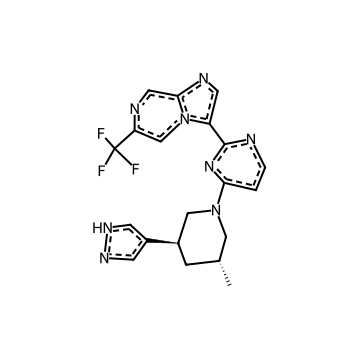 C[C@@H]1C[C@@H](c2cn[nH]c2)CN(c2ccnc(-c3cnc4cnc(C(F)(F)F)cn34)n2)C1